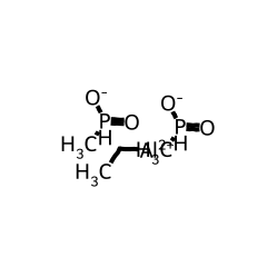 C[CH2][Al+2].C[PH](=O)[O-].C[PH](=O)[O-]